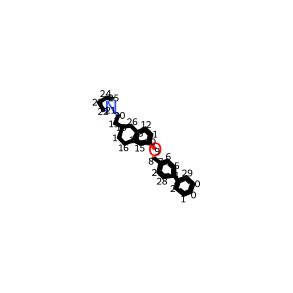 c1ccc(-c2ccc(COc3ccc4c(c3)CCC(CCN3CCCC3)C4)cc2)cc1